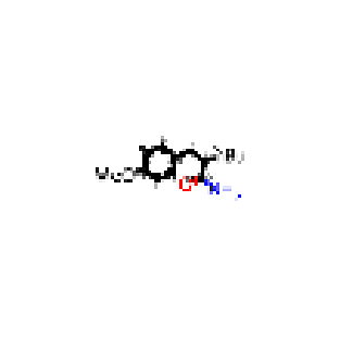 CCCCC(Cc1ccc(OC)cc1)C(N)=O